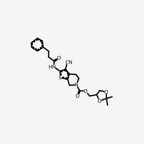 CC1(C)OCC(COC(=O)N2CCc3c(sc(NC(=O)CCc4ccccc4)c3C#N)C2)O1